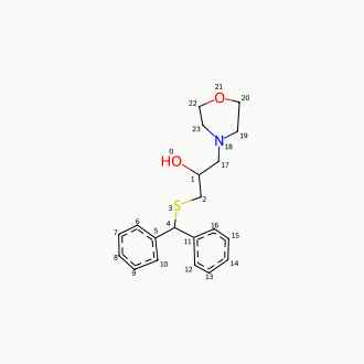 OC(CSC(c1ccccc1)c1ccccc1)CN1CCOCC1